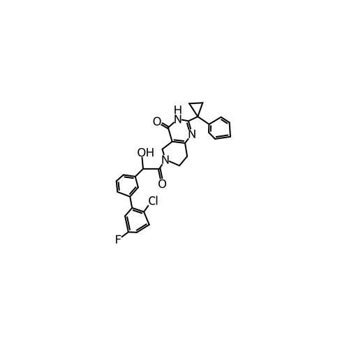 O=C(C(O)c1cccc(-c2cc(F)ccc2Cl)c1)N1CCc2nc(C3(c4ccccc4)CC3)[nH]c(=O)c2C1